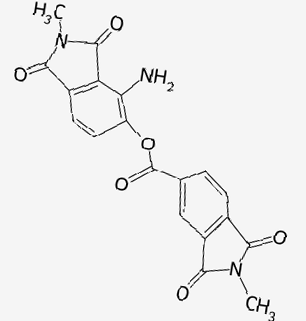 CN1C(=O)c2ccc(C(=O)Oc3ccc4c(c3N)C(=O)N(C)C4=O)cc2C1=O